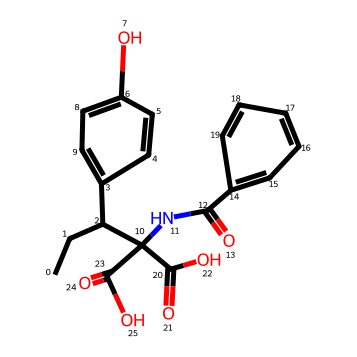 CCC(c1ccc(O)cc1)C(NC(=O)c1ccccc1)(C(=O)O)C(=O)O